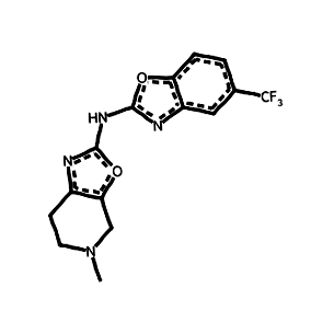 CN1CCc2nc(Nc3nc4cc(C(F)(F)F)ccc4o3)oc2C1